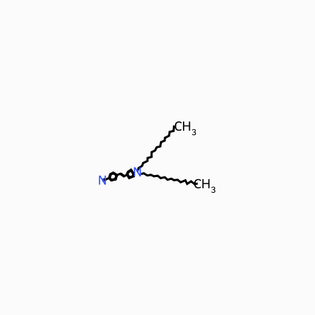 CCCCCCCCCCCCCCCCCCN(CCCCCCCCCCCCCCCCCC)c1ccc(C=Cc2ccc(C#N)cc2)cc1